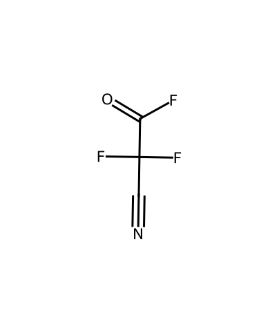 N#CC(F)(F)C(=O)F